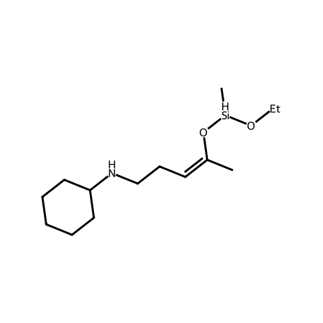 CCO[SiH](C)OC(C)=CCCNC1CCCCC1